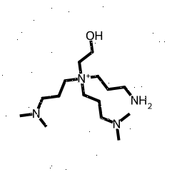 CN(C)CCC[N+](CCO)(CCCN)CCCN(C)C